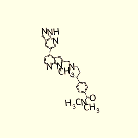 CN(C)C(=O)c1ccc(C2CCN(Cc3cc4c(-c5cnc6[nH]ncc6c5)ccnc4n3C)CC2)cc1